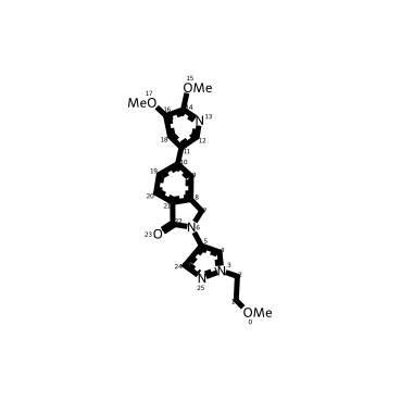 COCCn1cc(N2Cc3cc(-c4cnc(OC)c(OC)c4)ccc3C2=O)cn1